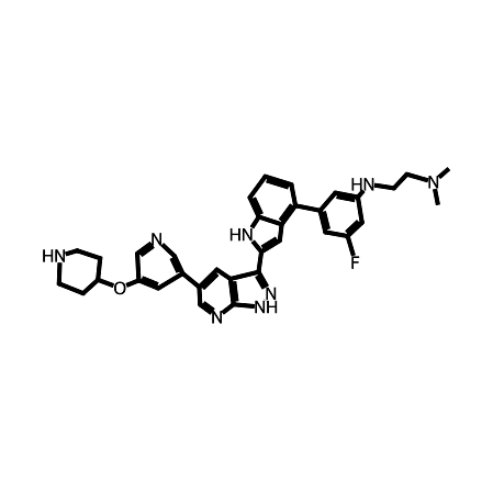 CN(C)CCNc1cc(F)cc(-c2cccc3[nH]c(-c4n[nH]c5ncc(-c6cncc(OC7CCNCC7)c6)cc45)cc23)c1